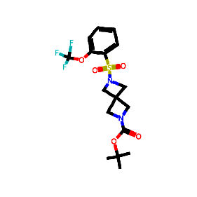 CC(C)(C)OC(=O)N1CC2(C1)CN(S(=O)(=O)c1ccccc1OC(F)(F)F)C2